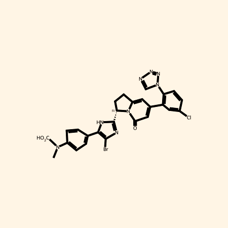 CN(C(=O)O)c1ccc(-c2[nH]c([C@@H]3CCc4cc(-c5cc(Cl)ccc5-n5cnnn5)cc(=O)n43)nc2Br)cc1